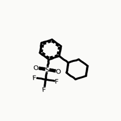 O=S(=O)(c1ccccc1C1CCCCC1)C(F)(F)F